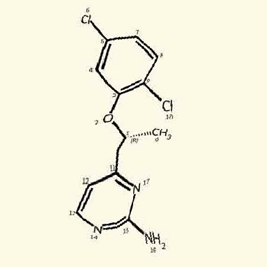 C[C@@H](Oc1cc(Cl)ccc1Cl)c1ccnc(N)n1